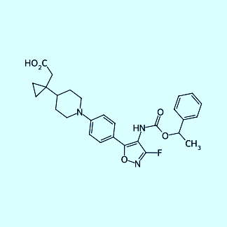 CC(OC(=O)Nc1c(F)noc1-c1ccc(N2CCC(C3(CC(=O)O)CC3)CC2)cc1)c1ccccc1